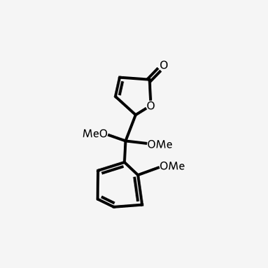 COc1ccccc1C(OC)(OC)C1C=CC(=O)O1